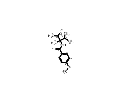 COc1ccc(C(=O)NC(C)(C(C)C)C(C)C)cc1